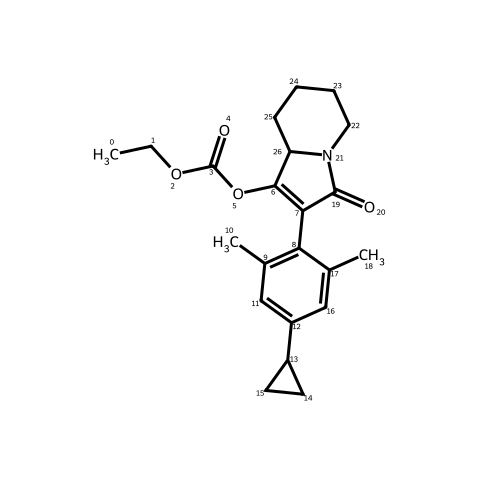 CCOC(=O)OC1=C(c2c(C)cc(C3CC3)cc2C)C(=O)N2CCCCC12